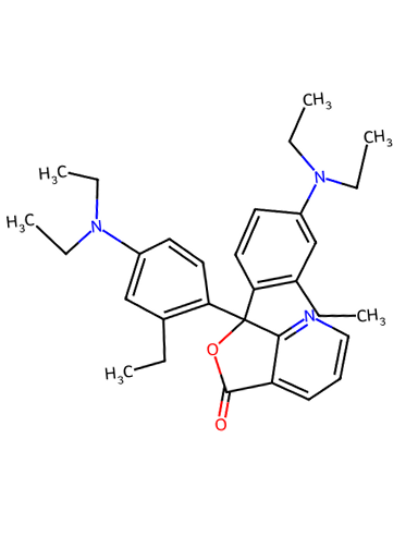 CCc1cc(N(CC)CC)ccc1C1(c2ccc(N(CC)CC)cc2CC)OC(=O)c2cccnc21